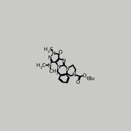 CN(C)c1nn(C)c(=O)c2nc(N3CCN(C(=O)OC(C)(C)C)CC3)n(Cc3ccccc3)c12